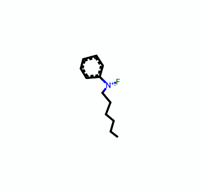 CCCCCC[N+](F)c1ccccc1